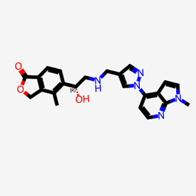 Cc1c([C@@H](O)CNCc2cnn(-c3ccnc4c3ccn4C)c2)ccc2c1COC2=O